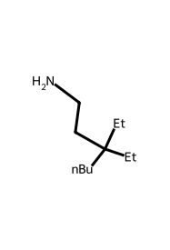 CCCCC(CC)(CC)CCN